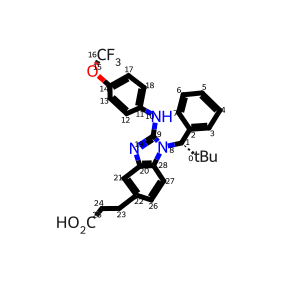 CC(C)(C)[C@@H](c1ccccc1)n1c(Nc2ccc(OC(F)(F)F)cc2)nc2cc(CCC(=O)O)ccc21